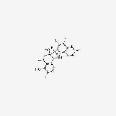 Cc1ncc2c(N[C@H]3c4ccc(F)c(O)c4[C@@H](C)C[C@]3(O)C(F)(F)F)cc(F)c(F)c2n1